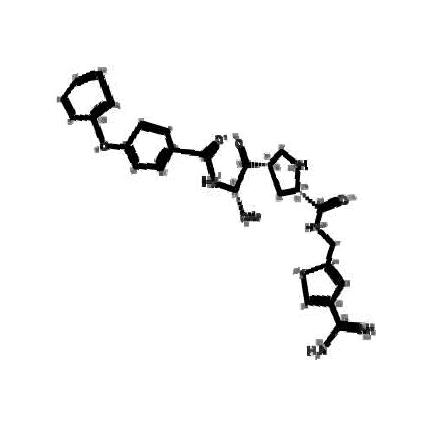 CO[C@H](NC(=O)c1ccc(Oc2ccccc2)cc1)C(=O)[C@@H]1CN[C@H](C(=O)NCc2cc(C(=N)N)cs2)C1